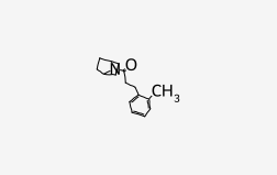 Cc1ccccc1CCC(=O)N1C2CCC1CC2